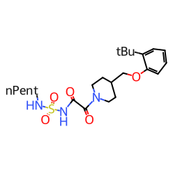 CCCCCNS(=O)(=O)NC(=O)C(=O)N1CCC(COc2ccccc2C(C)(C)C)CC1